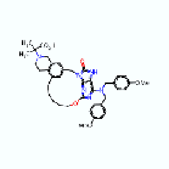 COc1ccc(CN(Cc2ccc(OC)cc2)c2nc3nc4c2[nH]c(=O)n4Cc2cc(c4c(c2)CN(C(C)(C)C(=O)O)CC4)CCCCCO3)cc1